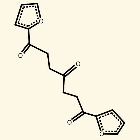 O=C(CCC(=O)c1ccco1)CCC(=O)c1ccco1